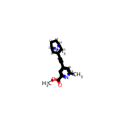 COC(=O)c1cc(C#CC2CC3CCC(C2)N3C)cc(C)n1